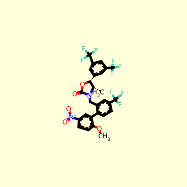 COc1ccc([N+](=O)[O-])cc1-c1ccc(C(F)(F)F)cc1CN1C(=O)O[C@H](c2cc(C(F)(F)F)cc(C(F)(F)F)c2)[C@@H]1C